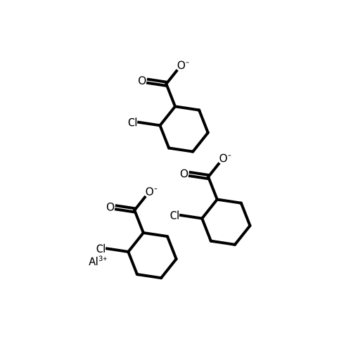 O=C([O-])C1CCCCC1Cl.O=C([O-])C1CCCCC1Cl.O=C([O-])C1CCCCC1Cl.[Al+3]